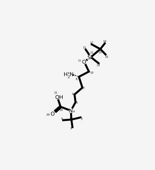 CC(C)(C)N(CCC[C@H](N)CO[Si](C)(C)C(C)(C)C)C(=O)O